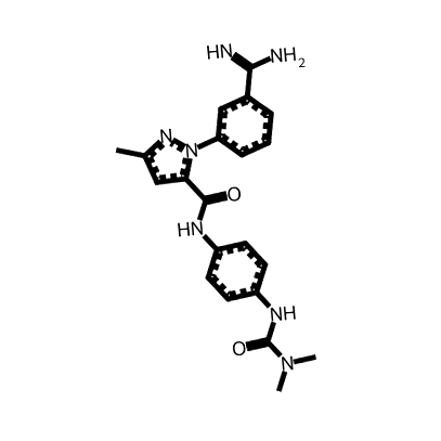 Cc1cc(C(=O)Nc2ccc(NC(=O)N(C)C)cc2)n(-c2cccc(C(=N)N)c2)n1